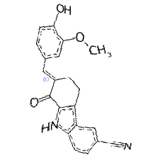 COc1cc(/C=C2\CCc3c([nH]c4ccc(C#N)cc34)C2=O)ccc1O